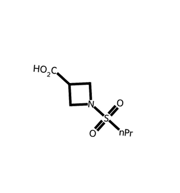 CCCS(=O)(=O)N1CC(C(=O)O)C1